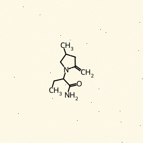 C=C1CC(C)CN1C(CC)C(N)=O